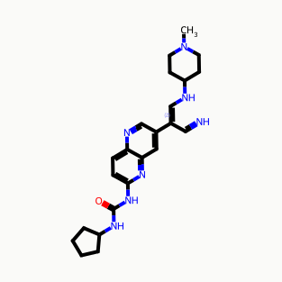 CN1CCC(N/C=C(\C=N)c2cnc3ccc(NC(=O)NC4CCCC4)nc3c2)CC1